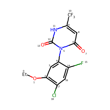 CCOc1cc(-n2c(=O)cc(C(F)(F)F)[nH]c2=O)c(F)cc1Cl